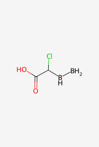 BBC(Cl)C(=O)O